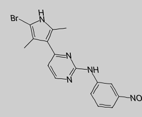 Cc1[nH]c(Br)c(C)c1-c1ccnc(Nc2cccc([N+](=O)[O-])c2)n1